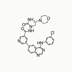 NC(=O)N(CCN1CCOCC1)NC(=O)c1cncc(-c2ccc3ncnc(Nc4cccc(Cl)c4)c3c2)c1